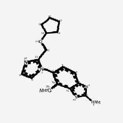 CNc1nc2ccc(-n3ccnc3COC3CCCC3)c(OC)c2s1